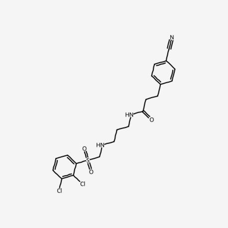 N#Cc1ccc(CCC(=O)NCCCNCS(=O)(=O)c2cccc(Cl)c2Cl)cc1